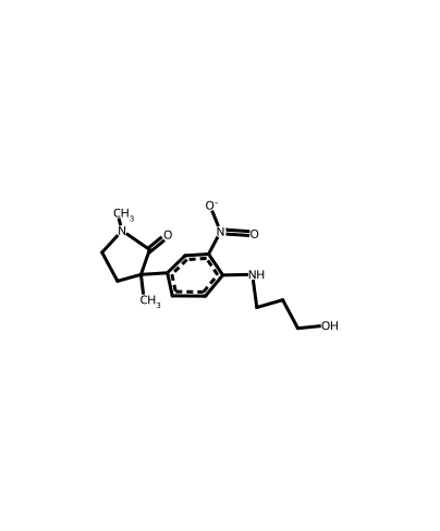 CN1CCC(C)(c2ccc(NCCCO)c([N+](=O)[O-])c2)C1=O